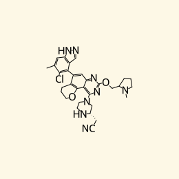 Cc1cc2[nH]ncc2c(-c2cc3nc(OCC4CCCN4C)nc(N4CCN[C@@H](CC#N)C4)c3c3c2CCCO3)c1Cl